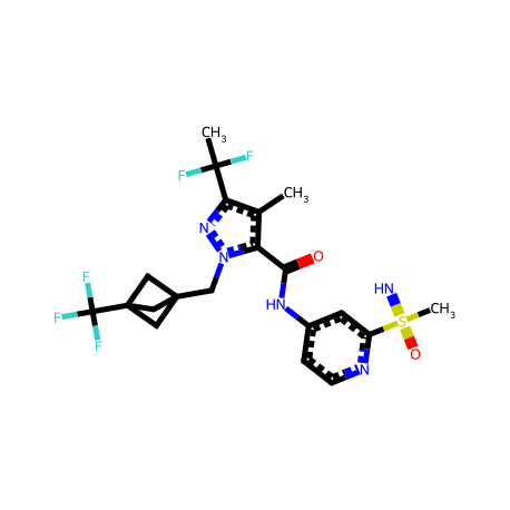 Cc1c(C(C)(F)F)nn(CC23CC(C(F)(F)F)(C2)C3)c1C(=O)Nc1ccnc(S(C)(=N)=O)c1